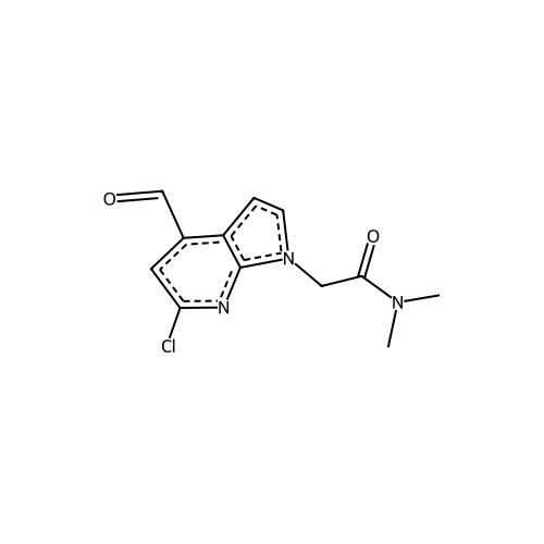 CN(C)C(=O)Cn1ccc2c(C=O)cc(Cl)nc21